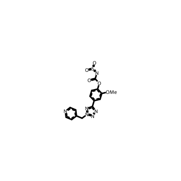 COc1cc(-c2nnn(Cc3ccncc3)n2)ccc1OC(=O)N=S(=O)=O